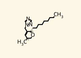 CCCCCCCCC[C@@H]1OC[C@H](C)C=C1Cn1cncn1